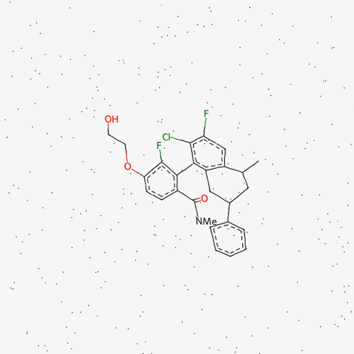 CNC(=O)c1ccc(OCCO)c(F)c1-c1c(Cl)c(F)cc2c1CC(c1ccccc1)CC2C